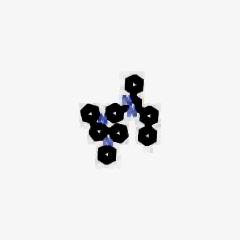 c1ccc(-c2cccc(-c3cc(-c4ccccc4)nc(-c4ccc(-n5c6ccccc6c6ccc7c(c8ccccc8n7-c7ccccc7)c65)cc4)n3)c2)cc1